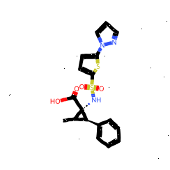 CC1[C@H](c2ccccc2)[C@]1(NS(=O)(=O)c1ccc(-n2cccn2)s1)C(=O)O